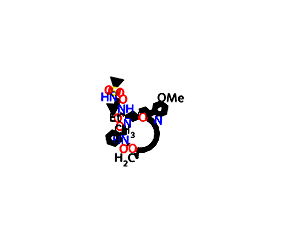 C=C[C@@H]1CCCCCCc2nc3ccc(OC)cc3c3c2O[C@]2(CC3)C[C@@H](C(=O)N[C@]3(C(=O)NS(=O)(=O)C4CC4)C[C@H]3CC)N(C2)C(=O)[C@H](C2(C)CCCCC2)NC(=O)O1